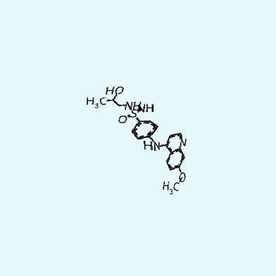 COc1ccc2c(Nc3ccc(S(=N)(=O)NC[C@@H](C)O)cc3)ccnc2c1